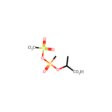 CCOC(=O)C(C)OP(C)(=O)OS(=O)(=O)C(Cl)(Cl)Cl